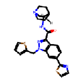 O=C(N[C@@H]1CN2CCC1CC2)c1nn(Cc2cccs2)c2cc(-c3nccs3)ccc12